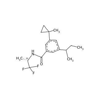 CCC(C)c1cc(C(=O)N[C@@H](C)C(F)(F)F)cc(C2(C)CC2)c1